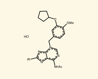 COc1ccc(Cn2cnc(NC(C)=O)c3nc(C(C)C)nc2-3)cc1OC1CCCC1.Cl